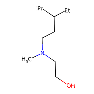 CCC(CCN(C)CCO)C(C)C